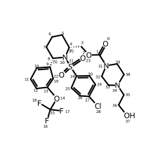 O=C(OC[C@H]1CCC[C@@H](c2cccc(OC(F)(F)F)c2)N1S(=O)(=O)c1ccc(Cl)cc1)N1CCN(CCO)CC1